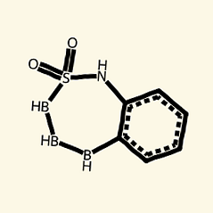 O=S1(=O)BBBc2ccccc2N1